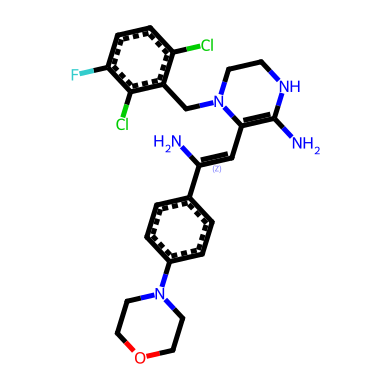 NC1=C(/C=C(\N)c2ccc(N3CCOCC3)cc2)N(Cc2c(Cl)ccc(F)c2Cl)CCN1